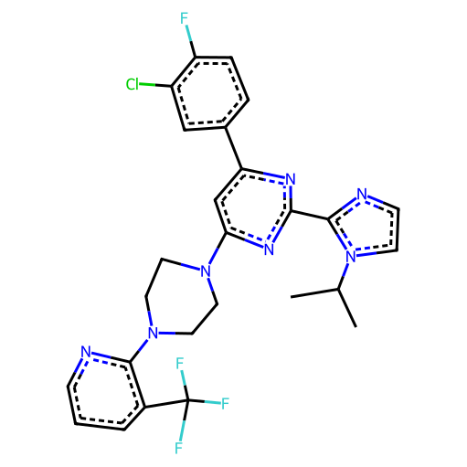 CC(C)n1ccnc1-c1nc(-c2ccc(F)c(Cl)c2)cc(N2CCN(c3ncccc3C(F)(F)F)CC2)n1